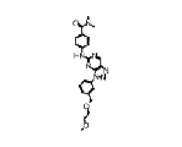 COCCOCc1cccc(-n2nnc3cnc(Nc4ccc(C(=O)N(C)C)cc4)nc32)c1